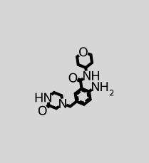 Nc1ccc(CN2CCNC(=O)C2)cc1C(=O)NC1CCOCC1